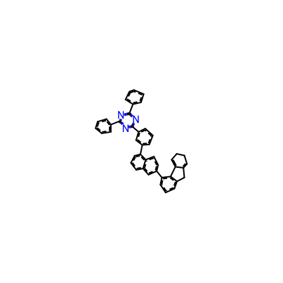 C1=C2Cc3cccc(-c4ccc5c(-c6cccc(-c7nc(-c8ccccc8)nc(-c8ccccc8)n7)c6)cccc5c4)c3C2=CCC1